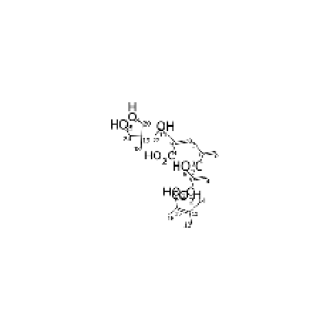 C=C(C)C(=O)O.C=C(C)C(=O)O.C=C(C)C(=O)O.CC(C)=C(C)C(=O)O.CC(CO)(CO)CO